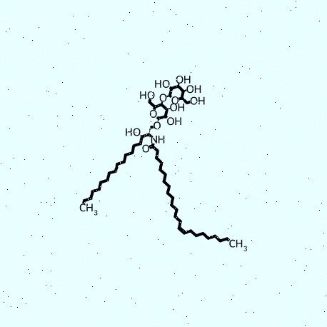 CCCCCCCC/C=C\CCCCCCCCCCCCCC(=O)N[C@@H](CO[C@@H]1OC(CO)[C@@H](O[C@@H]2OC(CO)[C@H](O)[C@H](O)C2O)[C@H](O)C1O)[C@H](O)CCCCCCCCCCCCCCC